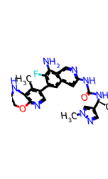 Cc1c(-c2cc3cc(NC(=O)N[C@@H](C)c4cnn(C)c4)ncc3c(N)c2F)cnc2c1NCCO2